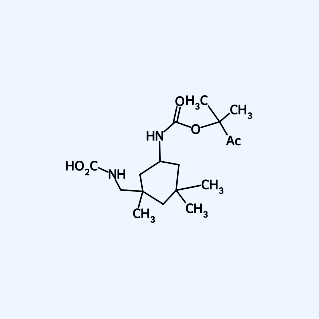 CC(=O)C(C)(C)OC(=O)NC1CC(C)(C)CC(C)(CNC(=O)O)C1